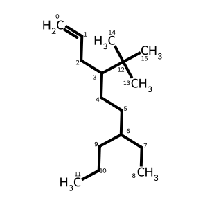 C=CCC(CCC(CC)CCC)C(C)(C)C